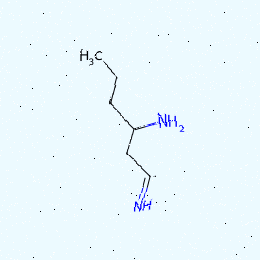 CCCC(N)C[C]=N